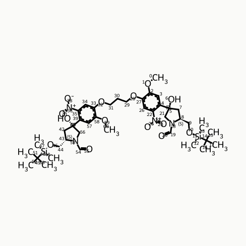 COc1cc([C@]2(O)C[C@@H](CO[Si](C)(C)C(C)(C)C)N(C=O)C2)c([N+](=O)[O-])cc1OCCCOc1cc([N+](=O)[O-])c([C@]2(O)C[C@@H](CO[Si](C)(C)C(C)(C)C)N(C=O)C2)cc1OC